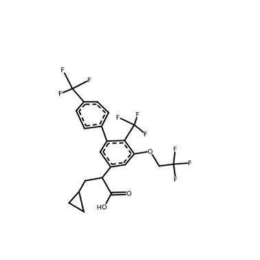 O=C(O)C(CC1CC1)c1cc(OCC(F)(F)F)c(C(F)(F)F)c(-c2ccc(C(F)(F)F)cc2)c1